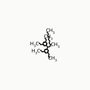 CCCCCCCCC(C)[CH]C(c1cc(CCC)cc(CCC)c1)c1cc(CCC)cc(CCC)c1